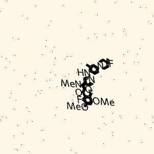 CNc1c(C(=O)c2c(F)c(OC)cc(OC)c2F)oc2cnc(Nc3ccc(N4CCC(C)(F)CC4)cc3C)cc12